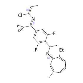 C/C=C(Cl)\N=C(/C1=CC1)c1cc(F)c(C(C)/N=c2/cc(C)cccc2CC)c(F)c1